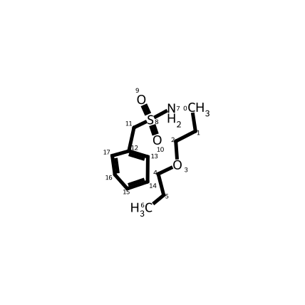 CCCOCCC.NS(=O)(=O)Cc1ccccc1